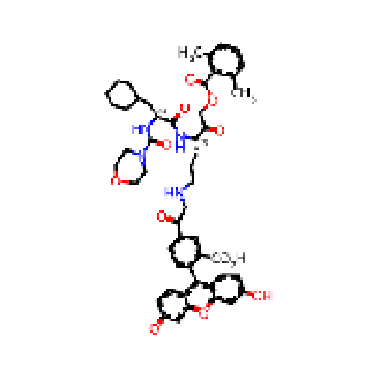 Cc1cccc(C)c1C(=O)OCC(=O)[C@H](CCCNCC(=O)c1ccc(-c2c3ccc(=O)cc-3oc3cc(O)ccc23)c(C(=O)O)c1)NC(=O)[C@H](CC1CCCCC1)NC(=O)N1CCOCC1